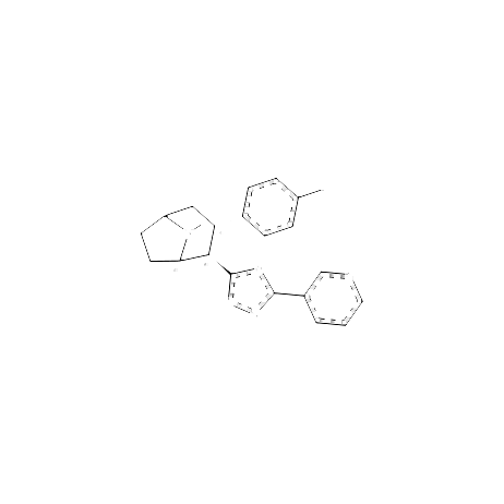 CN1C2CC[C@@H]1[C@H](c1nc(-c3cccnc3)no1)[C@@H](c1ccc(Cl)cc1)C2